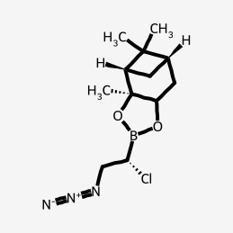 CC1(C)[C@@H]2CC3OB([C@H](Cl)CN=[N+]=[N-])O[C@@]3(C)[C@H]1C2